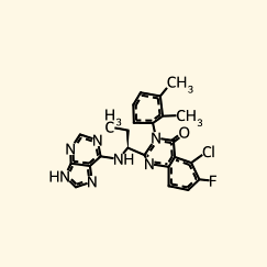 CC[C@H](Nc1ncnc2[nH]cnc12)c1nc2ccc(F)c(Cl)c2c(=O)n1-c1cccc(C)c1C